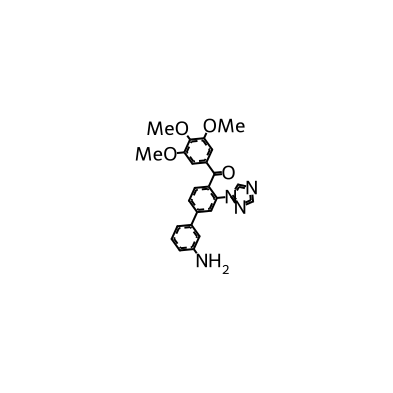 COc1cc(C(=O)c2ccc(-c3cccc(N)c3)cc2-n2cncn2)cc(OC)c1OC